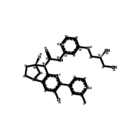 Cc1cc(-c2nc3c(cc2Cl)N2CC[C@@H](C2)N3C(=O)Nc2cc(OC[C@H](O)CO)ccn2)ccn1